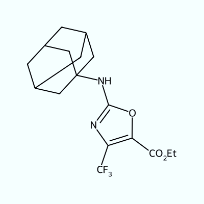 CCOC(=O)c1oc(NC23CC4CC(CC(C4)C2)C3)nc1C(F)(F)F